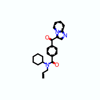 C=CCN(C(=O)c1ccc(C(=O)c2cnc3ccccn23)cc1)C1CCCCC1